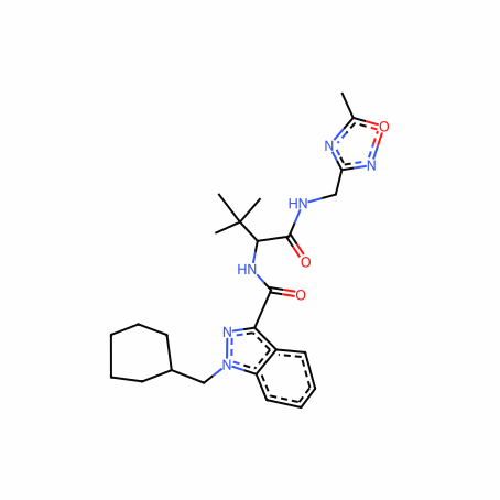 Cc1nc(CNC(=O)C(NC(=O)c2nn(CC3CCCCC3)c3ccccc23)C(C)(C)C)no1